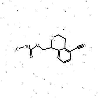 CNC(=O)OCC1OCCc2c(C#N)cccc21